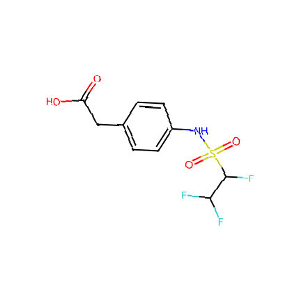 O=C(O)Cc1ccc(NS(=O)(=O)C(F)C(F)F)cc1